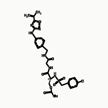 C=C(C)c1nc(Nc2ccc(CNC(=O)CNC(=O)[C@@H](COC(=O)C(C)(C)C)NS(=O)(=O)Cc3ccc(Cl)cc3)cc2)no1